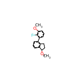 COc1cccc(-c2cccc3c2CC[C@H]3OC)c1F